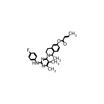 C/C=C/C(=O)Oc1ccc2c(c1)CCN(c1nc(Nc3ccc(F)cc3)nc(C)c1C)C2C